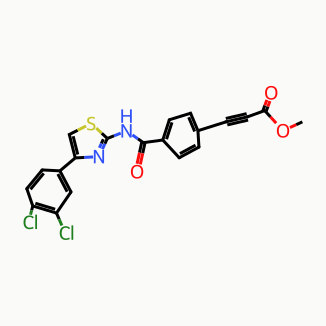 COC(=O)C#Cc1ccc(C(=O)Nc2nc(-c3ccc(Cl)c(Cl)c3)cs2)cc1